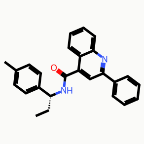 CC[C@@H](NC(=O)c1cc(-c2ccccc2)nc2ccccc12)c1ccc(C)cc1